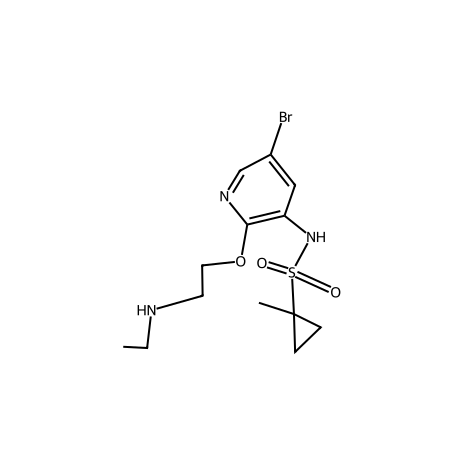 CCNCCOc1ncc(Br)cc1NS(=O)(=O)C1(C)CC1